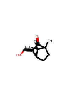 CC12CCC(C(=CO)C1=O)C2(C)C